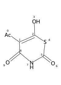 CC(=O)c1c(O)sc(=O)[nH]c1=O